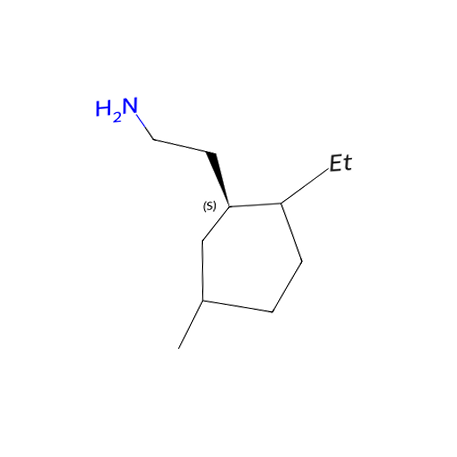 CCC1CCC(C)C[C@H]1CCN